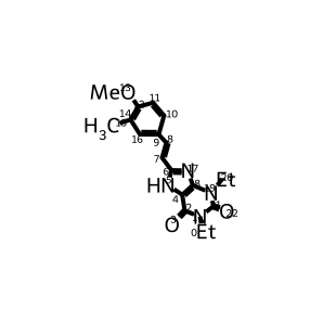 CCn1c(=O)c2[nH]c(/C=C/c3ccc(OC)c(C)c3)nc2n(CC)c1=O